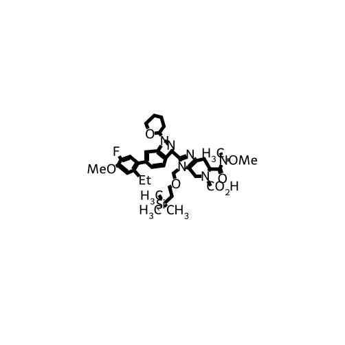 CCc1cc(OC)c(F)cc1-c1ccc2c(-c3nc4c(n3COCC[Si](C)(C)C)CN(C(=O)O)C(C(=O)N(C)OC)C4)nn(C3CCCCO3)c2c1